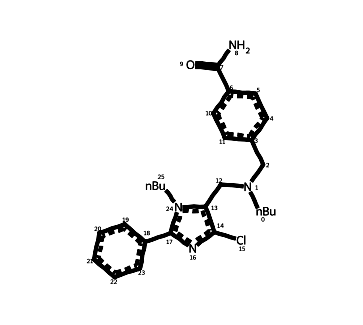 CCCCN(Cc1ccc(C(N)=O)cc1)Cc1c(Cl)nc(-c2ccccc2)n1CCCC